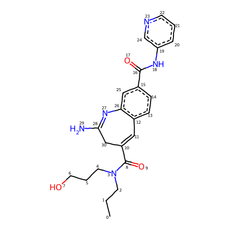 CCCN(CCCO)C(=O)C1=Cc2ccc(C(=O)Nc3cccnc3)cc2N=C(N)C1